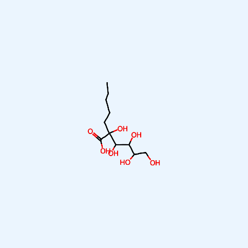 CCCCCC(O)(C(=O)O)C(O)C(O)C(O)CO